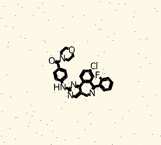 O=C(c1ccc(Nc2ncc3c(n2)-c2ccc(Cl)cc2C(c2ccccc2F)=NC3)cc1)N1CCOCC1